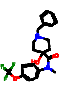 CN(C(=O)C1(O)CCN(Cc2ccccc2)CC1)c1ccc(OC(F)(F)F)cc1